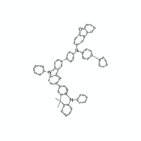 CC1(C)c2ccccc2N(c2ccccc2)c2ccc(-c3ccc4c(c3)c3cc(-c5ccc(N(c6ccc(-c7ccccc7)cc6)c6ccc7oc8ccccc8c7c6)cc5)ccc3n4-c3ccccc3)cc21